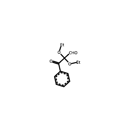 CCOC(C=O)(OCC)C(=O)c1ccccc1